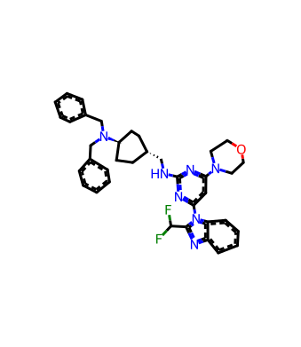 FC(F)c1nc2ccccc2n1-c1cc(N2CCOCC2)nc(NC[C@H]2CC[C@H](N(Cc3ccccc3)Cc3ccccc3)CC2)n1